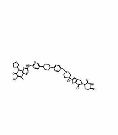 CC(=O)c1c(C)c2cnc(Nc3ccc(C4CCN(c5ccc(CN6CCC(O)(c7cc8c(s7)C(=O)N(C7CCC(=O)NC7=O)C8)CC6)cc5)CC4)cn3)nc2n(C2CCCC2)c1=O